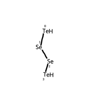 [TeH][Se][Se][TeH]